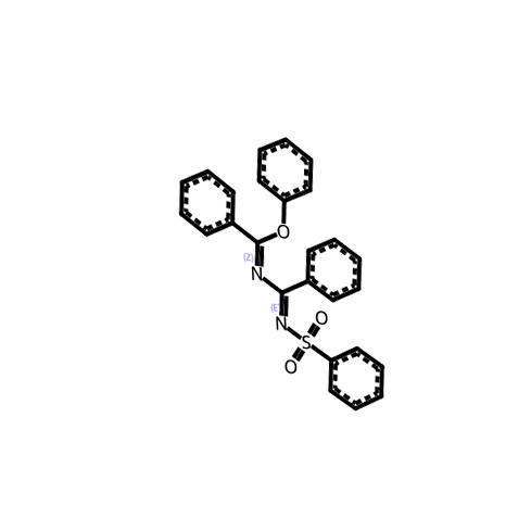 O=S(=O)(/N=C(/N=C(\Oc1ccccc1)c1ccccc1)c1ccccc1)c1ccccc1